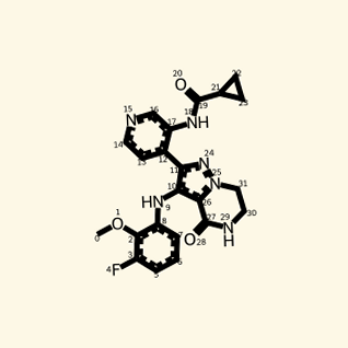 COc1c(F)cccc1Nc1c(-c2ccncc2NC(=O)C2CC2)nn2c1C(=O)NCC2